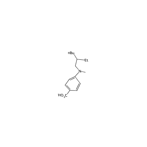 CCCCC(CC)CN(C)c1ccc(C(=O)O)cc1